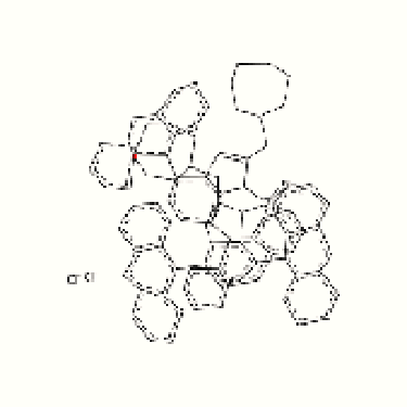 [CH3][Zr]([CH3])(=[SiH2])([CH]1C(CC2CCCCCC2)=Cc2c(-c3c4ccccc4cc4ccccc34)ccc(-c3c4ccccc4cc4ccccc34)c21)[CH]1C(CC2CCCCCC2)=Cc2c(-c3c4ccccc4cc4ccccc34)ccc(-c3c4ccccc4cc4ccccc34)c21.[Cl-].[Cl-]